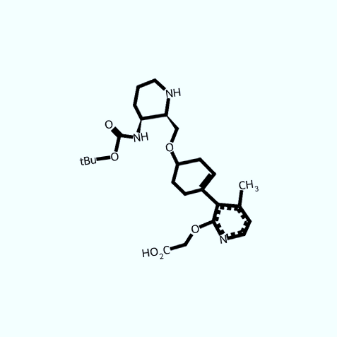 Cc1ccnc(OCC(=O)O)c1C1=CCC(OC[C@@H]2NCCC[C@@H]2NC(=O)OC(C)(C)C)CC1